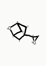 C1C2CC(C3CO3)CC1O2